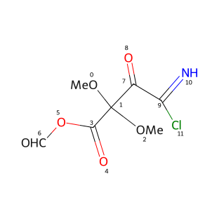 COC(OC)(C(=O)OC=O)C(=O)C(=N)Cl